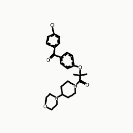 CC(C)(Oc1ccc(C(=O)c2ccc(Cl)cc2)cc1)C(=O)N1CCC(N2CCOCC2)CC1